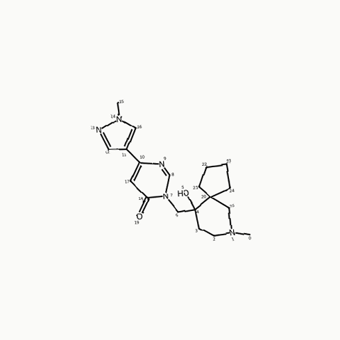 CN1CCC(O)(Cn2cnc(-c3cnn(C)c3)cc2=O)C2(CCCC2)C1